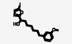 COc1cccc(CCCCCCC(O)c2ncc(I)o2)c1